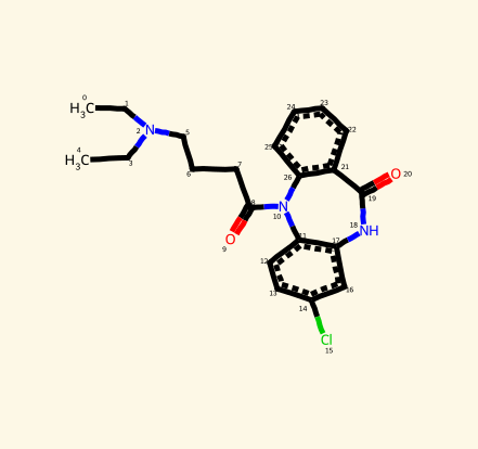 CCN(CC)CCCC(=O)N1c2ccc(Cl)cc2NC(=O)c2ccccc21